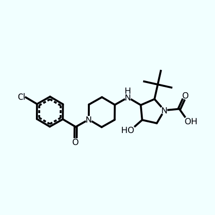 CC(C)(C)C1C(NC2CCN(C(=O)c3ccc(Cl)cc3)CC2)C(O)CN1C(=O)O